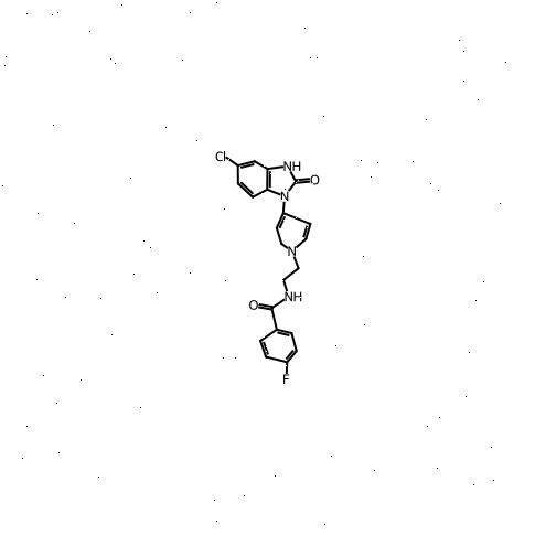 O=C(NCCN1C=CC(n2c(=O)[nH]c3cc(Cl)ccc32)=CC1)c1ccc(F)cc1